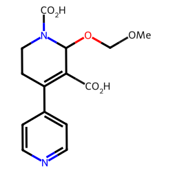 COCOC1C(C(=O)O)=C(c2ccncc2)CCN1C(=O)O